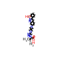 CC(C)C(C(=O)O)n1cc(N2CC3(CN(c4ccc5cc(-c6ccccc6O)nnc5c4)C3)C2)nn1